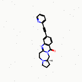 O=c1c2ccc(C#Cc3ccccn3)cc2nc2n1C[C@H]1CCCN1CC2